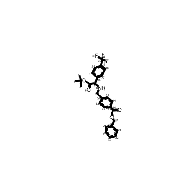 CC(C)(C)OC(=O)C(NCc1ccc(C(=O)OCc2ccccc2)cc1)c1ccc(C(F)(F)F)cc1